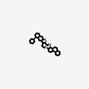 [c]1ccc(-c2cccc3cc4sc5c(ccn6c7ccc8c9ccccc9ccc8c7nc56)c4cc23)cc1